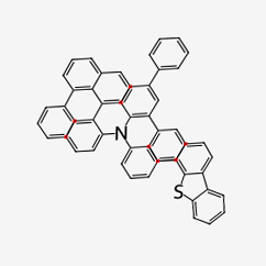 c1ccc(-c2ccc(N(c3cccc(-c4cccc5c4sc4ccccc45)c3)c3ccccc3-c3cccc4cccc(-c5ccccc5)c34)c(-c3ccccc3)c2)cc1